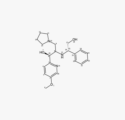 COc1ccc([C@@H](O)C(CN2CCCC2)N[C@H](CO)c2ccccc2)nc1